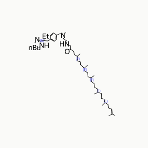 C=N/C(NCCCC)=C(\CC)Cc1ccc(CN(C)CCNCC(=O)CC/C(C)=C/CC/C(C)=C/CC/C(C)=C/CC/C=C(\C)CC/C=C(\C)CCC=C(C)C)cc1